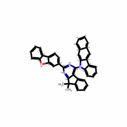 CC1(C)c2ccccc2-c2c(-n3c4ccccc4c4cc5ccccc5cc43)nc(-c3ccc4c(c3)oc3ccccc34)nc21